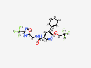 O=C(NCc1nc(C(F)(F)F)no1)c1cnc(OCC(F)(F)F)c(C2=CCCCC2)c1